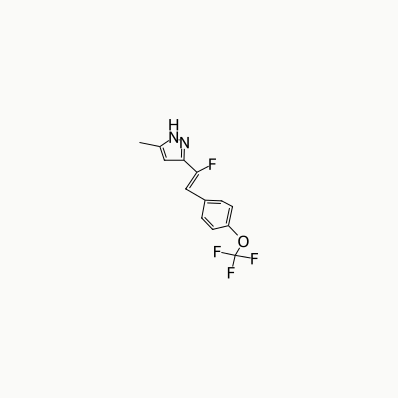 Cc1cc(C(F)=Cc2ccc(OC(F)(F)F)cc2)n[nH]1